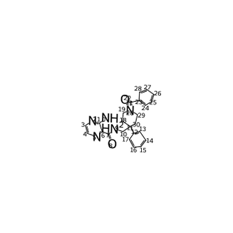 Nc1nccnc1C(=O)NCC1(c2ccccc2)CCN(C(=O)c2ccccc2)CC1